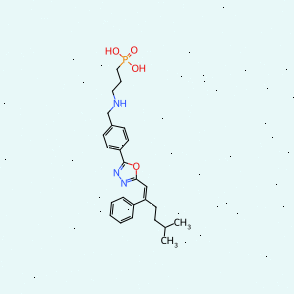 CC(C)CCC(=Cc1nnc(-c2ccc(CNCCCP(=O)(O)O)cc2)o1)c1ccccc1